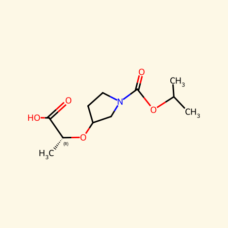 CC(C)OC(=O)N1CCC(O[C@H](C)C(=O)O)C1